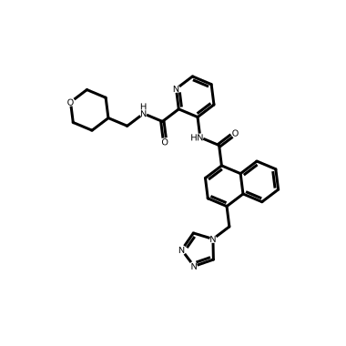 O=C(NCC1CCOCC1)c1ncccc1NC(=O)c1ccc(Cn2cnnc2)c2ccccc12